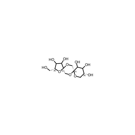 OC[C@H]1O[C@@]2(CO[C@]3(CO2)OC[C@@H](O)C(O)C3O)C(O)C1O